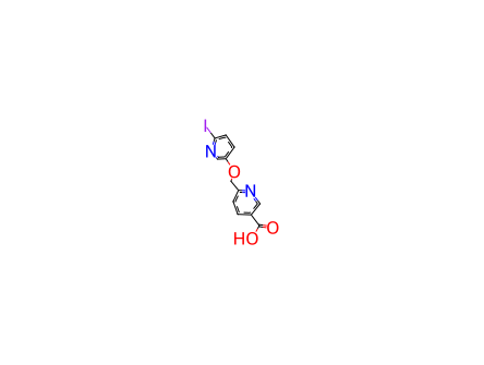 O=C(O)c1ccc(COc2ccc(I)nc2)nc1